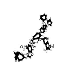 CC(C)c1ccccc1[C@H]1CCCN1C1CC2(CCN(c3ccc(C(=O)NS(=O)(=O)c4cc5c(c([N+](=O)[O-])c4)N[C@@H](CC4CCC(C)(C)CC4)CO5)c(Oc4cnc5[nH]cc(C#N)c5c4)c3)CC2)C1